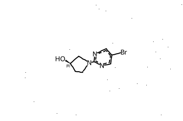 O[C@@H]1CCN(c2ncc(Br)cn2)C1